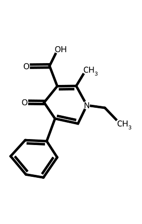 CCn1cc(-c2ccccc2)c(=O)c(C(=O)O)c1C